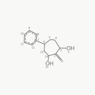 C=C1[C](O)CCC(c2ccccc2)CC1O